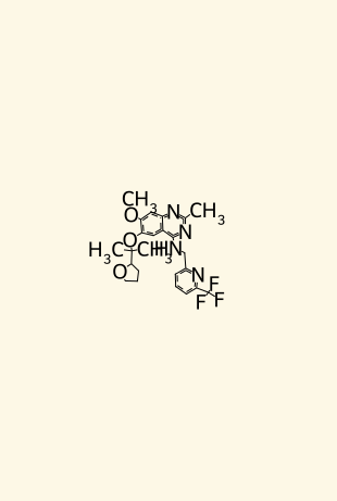 COc1cc2nc(C)nc(NCc3cccc(C(F)(F)F)n3)c2cc1OC(C)(C)C1CCCO1